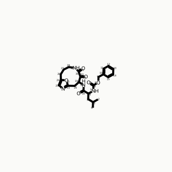 CC(C)CC(NC(=O)OCc1ccccc1)C(=O)NC1Cc2ncc(o2)CCCNC(=O)C1=O